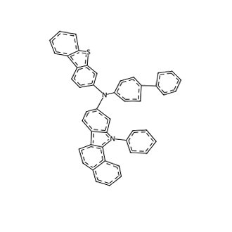 c1ccc(-c2ccc(N(c3ccc4c(c3)sc3ccccc34)c3ccc4c5ccc6ccccc6c5n(-c5ccccc5)c4c3)cc2)cc1